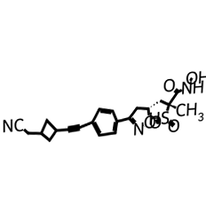 C[C@@](C[C@H]1CC(c2ccc(C#CC3CC(CC#N)C3)cc2)=NO1)(C(=O)NO)[SH](=O)=O